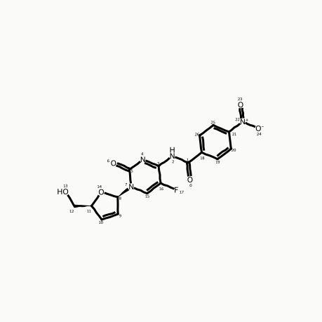 O=C(Nc1nc(=O)n([C@H]2C=C[C@@H](CO)O2)cc1F)c1ccc([N+](=O)[O-])cc1